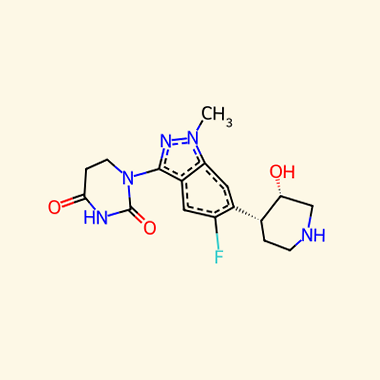 Cn1nc(N2CCC(=O)NC2=O)c2cc(F)c([C@H]3CCNC[C@H]3O)cc21